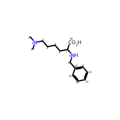 CN(C)CCCCC(NCc1ccccc1)C(=O)O